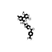 COc1cnc(Cl)cc1-c1cc(C)ncc1C(=O)Nc1nc2c(s1)CN(C(=O)c1ccc(C(F)F)cc1)C2